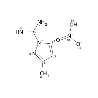 Cc1ccn(C(=N)N)n1.O=[N+]([O-])O